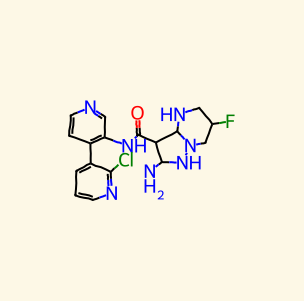 NC1NN2CC(F)CNC2C1C(=O)Nc1cnccc1-c1cccnc1Cl